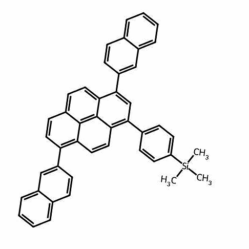 C[Si](C)(C)c1ccc(-c2cc(-c3ccc4ccccc4c3)c3ccc4ccc(-c5ccc6ccccc6c5)c5ccc2c3c45)cc1